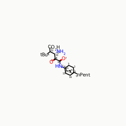 CCCCCC12CCC(NC(=O)C(=O)[C@@H](N)C(C(=O)O)C(C)(C)C)(CC1)CC2